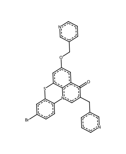 O=c1c(Cc2cccnc2)cn2c3c(cc(OCc4cccnc4)cc13)Sc1cc(Br)ccc1-2